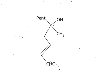 CCCC(C)C(C)(O)CC=CC=O